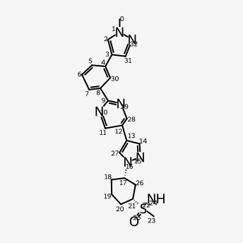 Cn1cc(-c2cccc(-c3ncc(-c4cnn([C@H]5CCC[C@@H](S(C)(=N)=O)C5)c4)cn3)c2)cn1